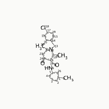 Cc1cccc(NC(=O)c2c(C)n(Cc3ccc(Cl)cc3)c(C)cc2=O)c1